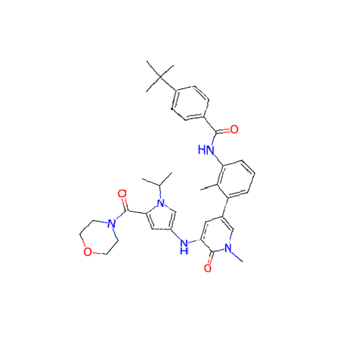 Cc1c(NC(=O)c2ccc(C(C)(C)C)cc2)cccc1-c1cc(Nc2cc(C(=O)N3CCOCC3)n(C(C)C)c2)c(=O)n(C)c1